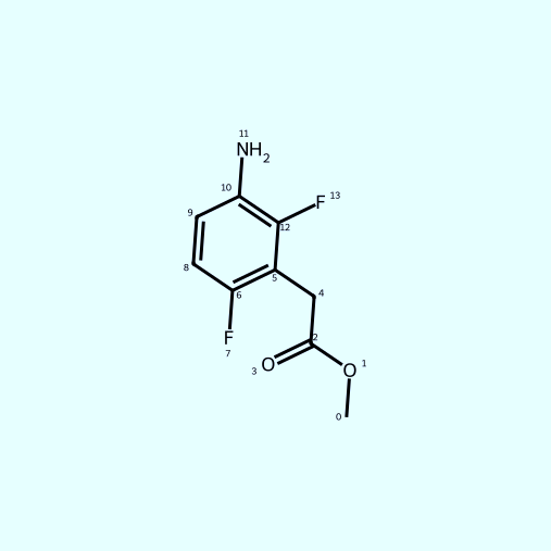 COC(=O)Cc1c(F)ccc(N)c1F